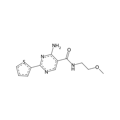 COCCNC(=O)c1cnc(-c2cccs2)nc1N